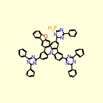 Pc1nc(-c2ccccc2)nc(-c2ccc3c(c2)c2cc(-c4nc(-c5ccccc5)nc(-c5ccccc5)n4)ccc2n3-c2ccc(-c3nc(-c4ccccc4)nc(-c4ccccc4)n3)cc2-c2ccc3oc4ccccc4c3c2)n1